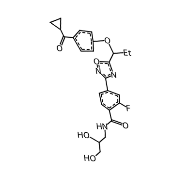 CCC(Oc1ccc(C(=O)C2CC2)cc1)c1nc(-c2ccc(C(=O)NCC(O)CO)c(F)c2)no1